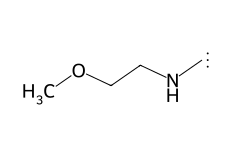 [C]NCCOC